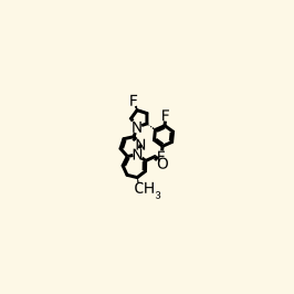 C[C@H]1C=C(C=O)N2N=C(N3C[C@@H](F)C[C@@H]3c3cc(F)ccc3F)C=CC2=CC1